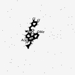 COc1ccc2c3c1O[C@H]1[C@H](N(C)C(=O)Cc4ccc(Cl)c(Cl)c4)CC[C@@]4(OC(C)=O)[C@@H](C2)N(CC2CC2)CC[C@]314